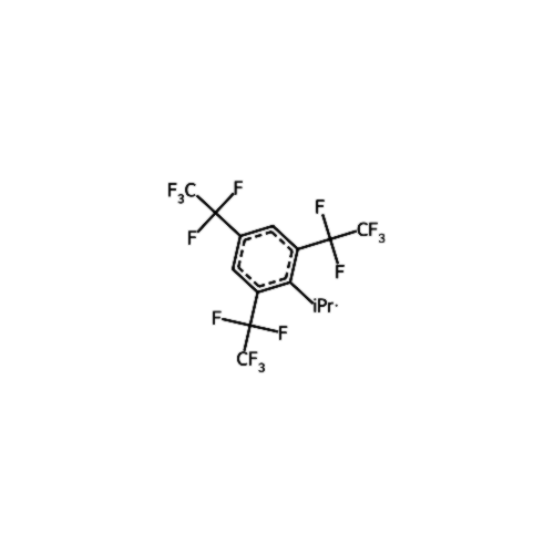 C[C](C)c1c(C(F)(F)C(F)(F)F)cc(C(F)(F)C(F)(F)F)cc1C(F)(F)C(F)(F)F